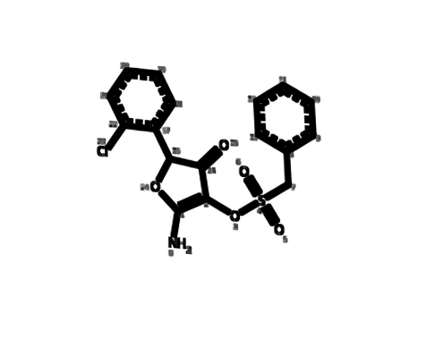 NC1=C(OS(=O)(=O)Cc2ccccc2)C(=O)C(c2ccccc2Cl)O1